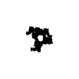 CC[C@H]1OC(=O)[C@H](C)[C@@H](O[C@H]2C[C@@](C)(OC)[C@@H](O)[C@H](C)O2)[C@H](C)[C@@H](O[C@@H]2O[C@H](C)C[C@H](N(C)CCc3cn([C@H](CO)Cc4ccc(-c5cncc(C=O)c5)cc4)nn3)C2O)[C@](C)(O)C[C@@H](C)CN(C)[C@H](C)[C@@H](O)[C@]1(C)O